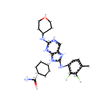 Cc1ccc(Nc2nc3cnc(NC4CCOCC4)nc3n2[C@H]2CC[C@@H](C(N)=O)CC2)c(F)c1F